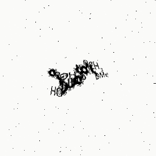 COCCN(C)C(=O)c1ccc2c(Oc3ccc(C[C@@H](CO)NC[C@H](O)COc4ccccc4)cc3)ccnc2c1